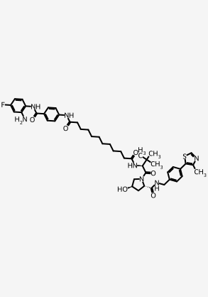 Cc1ncsc1-c1ccc(CNC(=O)[C@@H]2C[C@@H](O)CN2C(=O)[C@@H](NC(=O)CCCCCCCCCCC(=O)Nc2ccc(C(=O)Nc3ccc(F)cc3N)cc2)C(C)(C)C)cc1